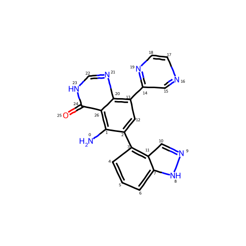 Nc1c(-c2cccc3[nH]ncc23)cc(-c2cnccn2)c2nc[nH]c(=O)c12